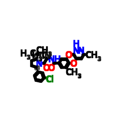 Cc1cc(Oc2ccc(C(=O)NC(C)C(=O)N3[C@H](c4cccc(Cl)c4)CC[C@@H]3C(C)(C)C#N)cc2C)c(=O)[nH]n1